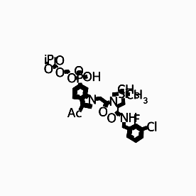 CC(=O)c1cn(CC(=O)N2C[Si](C)(C)C[C@H]2C(=O)NCc2cccc(Cl)c2F)c2cc(P(=O)(O)OCOC(=O)OC(C)C)ccc12